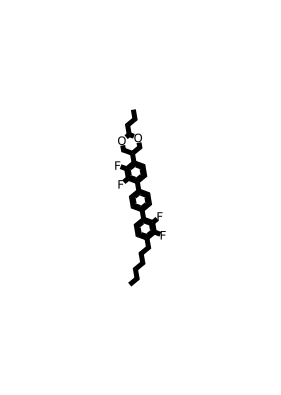 CCCCCCc1ccc(-c2ccc(-c3ccc(C4COC(CCC)OC4)c(F)c3F)cc2)c(F)c1F